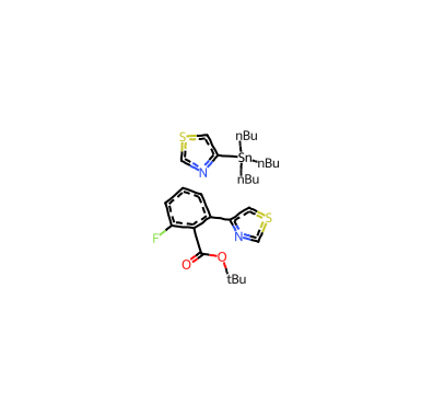 CC(C)(C)OC(=O)c1c(F)cccc1-c1cscn1.CCC[CH2][Sn]([CH2]CCC)([CH2]CCC)[c]1cscn1